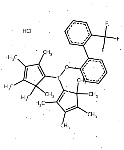 CC1=C(C)C(C)(C)[C]([Ti]([O]c2ccccc2-c2ccccc2C(F)(F)F)[C]2=C(C)C(C)=C(C)C2(C)C)=C1C.Cl